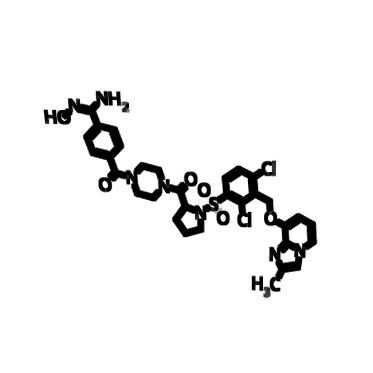 Cc1cn2cccc(OCc3c(Cl)ccc(S(=O)(=O)N4CCCC4C(=O)N4CCN(C(=O)c5ccc(/C(N)=N\O)cc5)CC4)c3Cl)c2n1